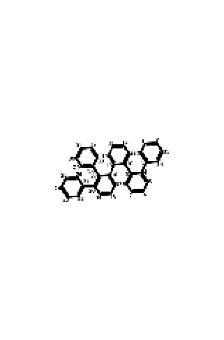 c1ccc(-c2ccccc2-c2ccccc2-c2cccc(-c3ccccc3)c2-c2ccccc2)cc1